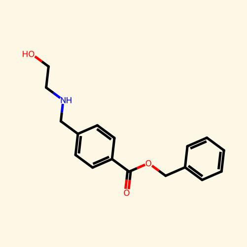 O=C(OCc1ccccc1)c1ccc(CNCCO)cc1